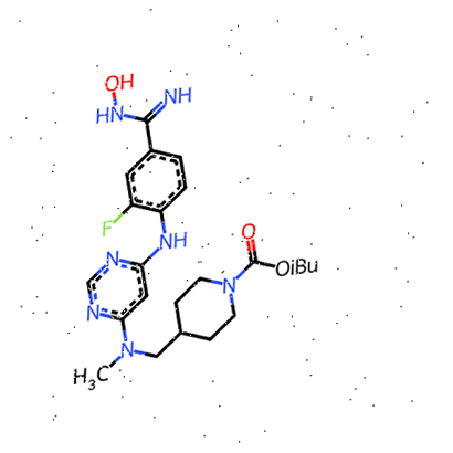 CC(C)COC(=O)N1CCC(CN(C)c2cc(Nc3ccc(C(=N)NO)cc3F)ncn2)CC1